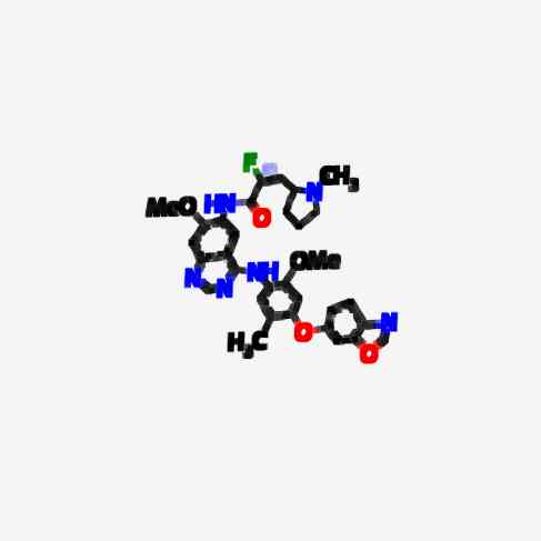 COc1cc2ncnc(Nc3cc(C)c(Oc4ccc5ncoc5c4)cc3OC)c2cc1NC(=O)/C(F)=C\C1CCCN1C